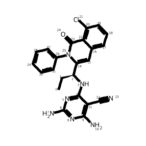 CC[C@H](Nc1nc(N)nc(N)c1C#N)c1cc2cccc(Cl)c2c(=O)n1-c1ccccc1